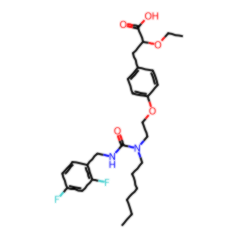 CCCCCCN(CCOc1ccc(CC(OCC)C(=O)O)cc1)C(=O)NCc1ccc(F)cc1F